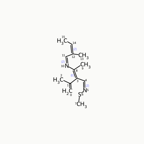 C=C(C)C(/C=N\SC)=C(C)\N=C/C(C)=C\C